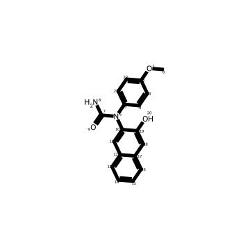 COc1ccc(N(C(N)=O)c2cc3ccccc3cc2O)cc1